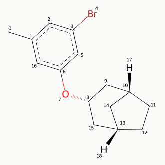 Cc1cc(Br)cc(O[C@@H]2C[C@@H]3CC[C@@H](C3)C2)c1